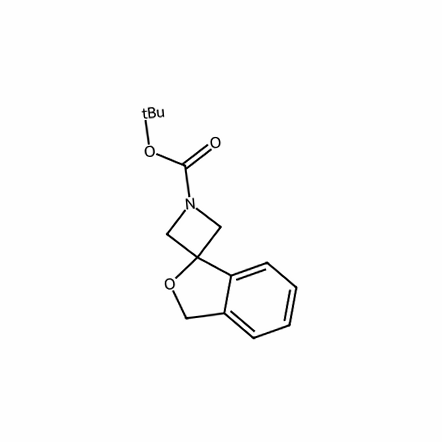 CC(C)(C)OC(=O)N1CC2(C1)OCc1ccccc12